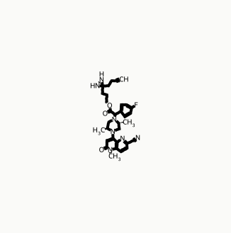 C#CCCC1(CCCOC(=O)C(c2ccc(F)cc2)N2C[C@H](C)N(c3cc(=O)n(C)c4ccc(C#N)nc34)C[C@H]2C)NN1